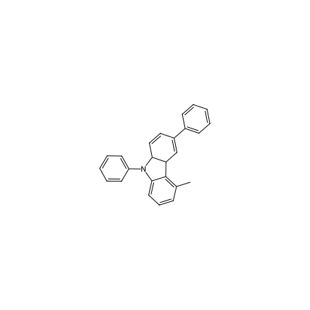 Cc1cccc2c1C1C=C(c3ccccc3)C=CC1N2c1ccccc1